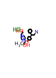 CC(O)C(Oc1ccc(C(=CC#N)c2ccccc2)cc1)N1CCN(CCO)CC1.Cl.Cl